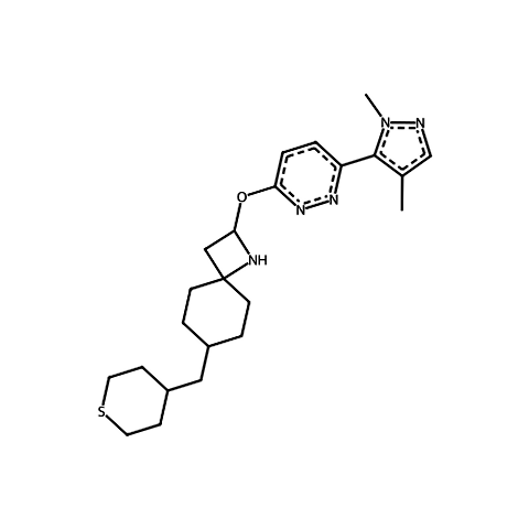 Cc1cnn(C)c1-c1ccc(OC2CC3(CCC(CC4CCSCC4)CC3)N2)nn1